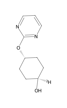 [2H][C@]1(O)CC[C@H](Oc2ncccn2)CC1